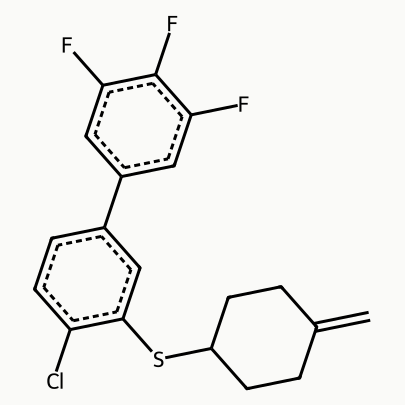 C=C1CCC(Sc2cc(-c3cc(F)c(F)c(F)c3)ccc2Cl)CC1